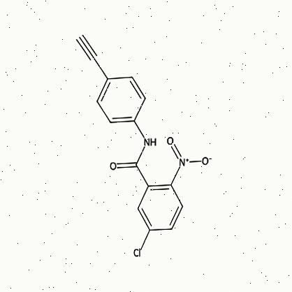 C#Cc1ccc(NC(=O)c2cc(Cl)ccc2[N+](=O)[O-])cc1